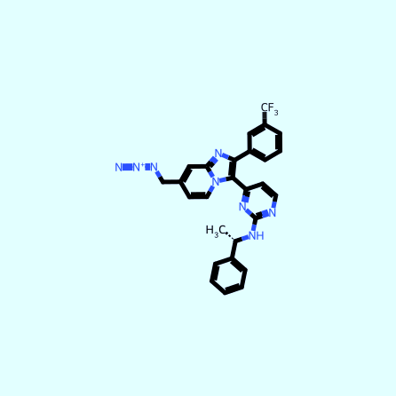 C[C@H](Nc1nccc(-c2c(-c3cccc(C(F)(F)F)c3)nc3cc(CN=[N+]=[N-])ccn23)n1)c1ccccc1